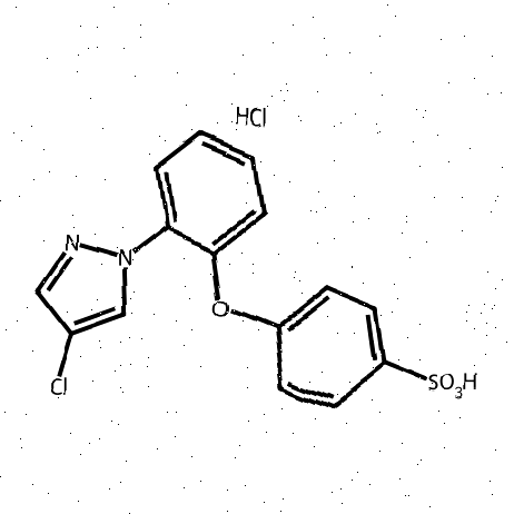 Cl.O=S(=O)(O)c1ccc(Oc2ccccc2-n2cc(Cl)cn2)cc1